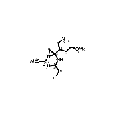 COCCC(CN)C1(N[C@H](N)CI)CN1CSC